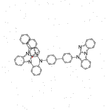 c1ccc(-c2ccc(N(c3ccc(-c4ccc(-n5c6ccccc6n6c7ccccc7nc56)cc4)cc3)c3ccccc3-n3c4ccccc4n4c5ccccc5nc34)cc2)cc1